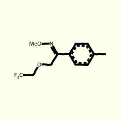 CO/N=C(\COCC(F)(F)F)c1ccc(C)cc1